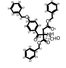 O=CNC(CC(=O)OCc1ccccc1)(C(=O)OCc1ccccc1)C(=O)c1ccc(OCc2ccccc2)cc1